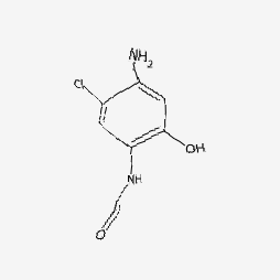 Nc1cc(O)c(NC=O)cc1Cl